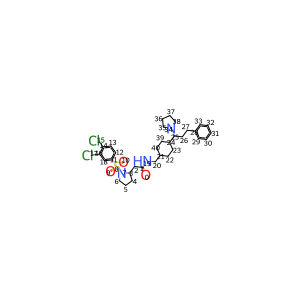 O=C(CC1CCCN1S(=O)(=O)c1ccc(Cl)c(Cl)c1)NCC1CCC(C(CCc2ccccc2)N2CCCC2)CC1